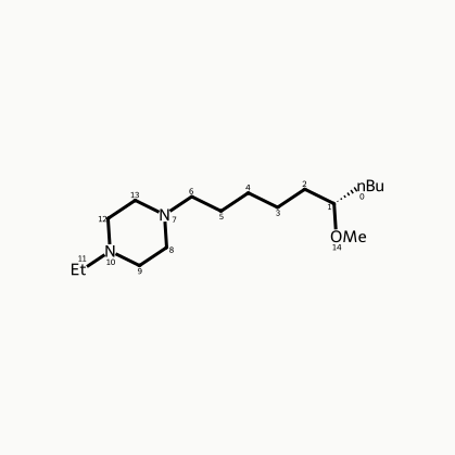 CCCC[C@@H](CCCCCN1CCN(CC)CC1)OC